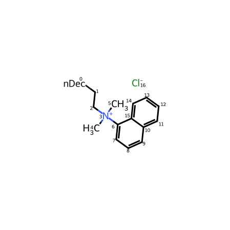 CCCCCCCCCCCC[N+](C)(C)c1cccc2ccccc12.[Cl-]